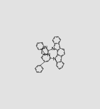 c1ccc(-c2cc(-c3ccccc3)nc(-n3c4ccccc4c4ccc5c6ccccc6n(-c6ccccn6)c5c43)c2)cc1